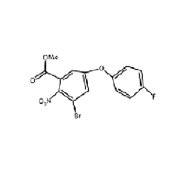 COC(=O)c1cc(Oc2ccc(F)cc2)cc(Br)c1[N+](=O)[O-]